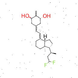 C=C1[C@H](O)CC(=C/C=C2\CCC[C@]3(C)[C@@H]([C@@H](C)CC(F)F)CC[C@@H]23)C[C@H]1O